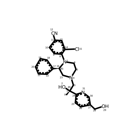 C[C@@](O)(CN1CCN(c2ccc(C#N)cc2Cl)[C@H](c2ccccc2)C1)c1ccc(CO)cn1